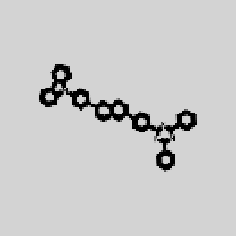 c1ccc(-c2nc(-c3ccccc3)nc(-c3ccc(-c4ccc5cc(-c6ccc(-n7c8ccccc8c8ccccc87)cc6)ccc5c4)cc3)n2)cc1